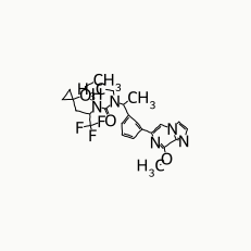 CCOC1(CC(NC(=O)N(CC)C(C)c2cccc(-c3cn4ccnc4c(OC)n3)c2)C(F)(F)F)CC1